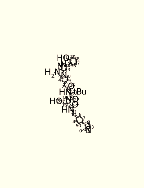 Cc1ncsc1-c1ccc(CCNC(=O)[C@@H]2C[C@H](O)CN2C(=O)[C@@H](NC(=O)CC2CCN(c3cc(-c4ccccc4O)nnc3N)CC2)C(C)(C)C)cc1